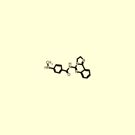 CNc1ccc(C(=O)NC2=Nc3ccccc3C3=NCCN23)cc1